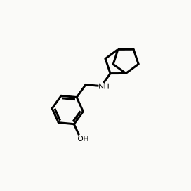 Oc1cccc(CNC2CC3CCC2C3)c1